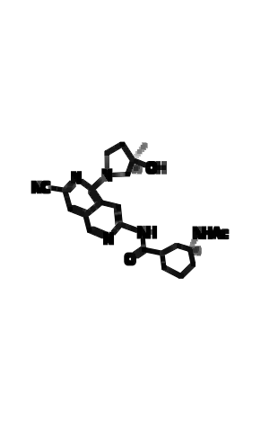 CC(=O)N[C@@H]1CCCC(C(=O)Nc2cc3c(N4CC[C@@](C)(O)C4)nc(C#N)cc3cn2)C1